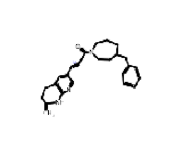 C=C1CCc2cc(/C=C/C(=O)N3CCCC(Cc4ccccc4)CC3)cnc2N1